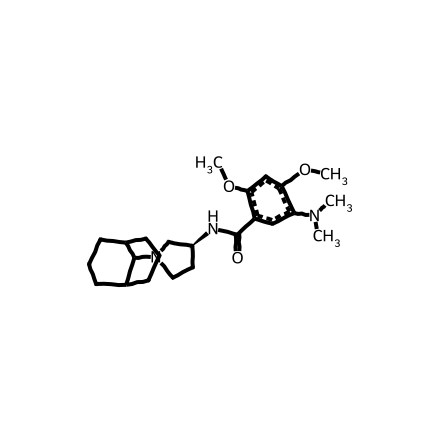 COc1cc(OC)c(N(C)C)cc1C(=O)N[C@H]1CCN(C2C3CCCC2CCC3)C1